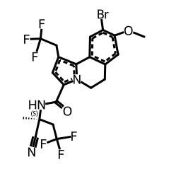 COc1cc2c(cc1Br)-c1c(CC(F)(F)F)cc(C(=O)N[C@](C)(C#N)CC(F)(F)F)n1CC2